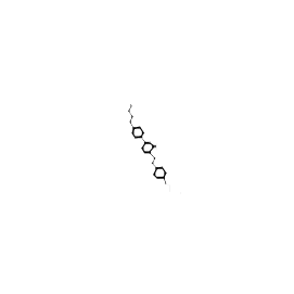 CCCCCc1ccc(-c2ccc(CCc3ccc(CC)cc3)c(F)c2F)cc1